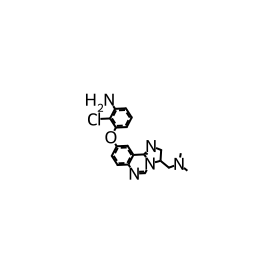 CN(C)CC1CN=C2c3cc(Oc4cccc(N)c4Cl)ccc3N=CN21